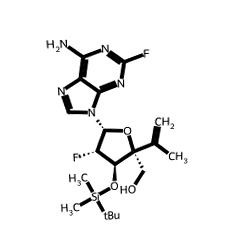 C=C(C)[C@]1(CO)O[C@@H](n2cnc3c(N)nc(F)nc32)[C@@H](F)[C@@H]1O[Si](C)(C)C(C)(C)C